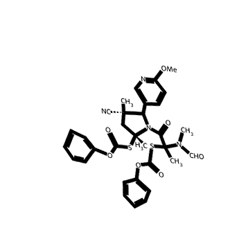 COc1ccc(C2N(C(=O)C(C)(SC(=O)Oc3ccccc3)N(C)C=O)[C@](C)(SC(=O)Oc3ccccc3)C[C@]2(C)C#N)cn1